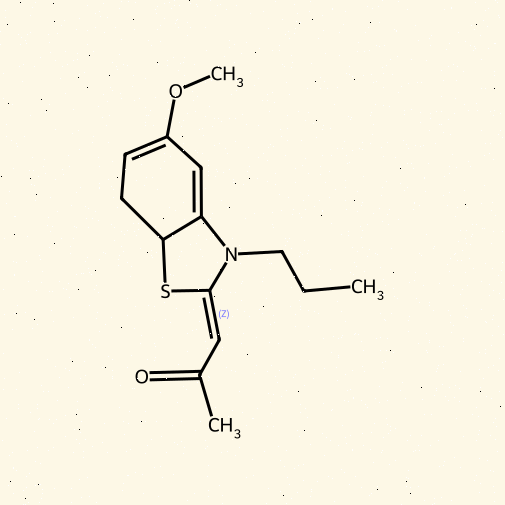 CCCN1C2=CC(OC)=CCC2S/C1=C\C(C)=O